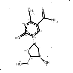 NC(=S)c1cn([C@@H]2C[C@@H](O)[C@H](CO)O2)c(=O)nc1N